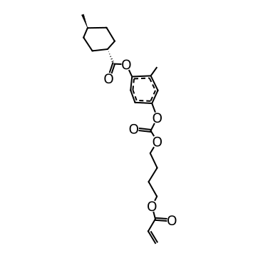 C=CC(=O)OCCCCOC(=O)Oc1ccc(OC(=O)[C@H]2CC[C@H](C)CC2)c(C)c1